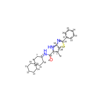 Cc1c(C(=O)NC2CC[Si]3(CCCCC3)CC2)[nH]c2nc(-c3ccccc3)sc12